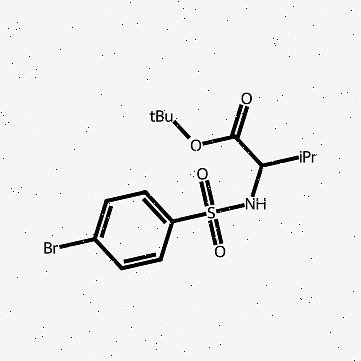 CC(C)C(NS(=O)(=O)c1ccc(Br)cc1)C(=O)OC(C)(C)C